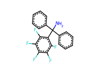 NC(c1ccccc1)(c1ccccc1)c1c(F)c(F)c(F)c(F)c1F